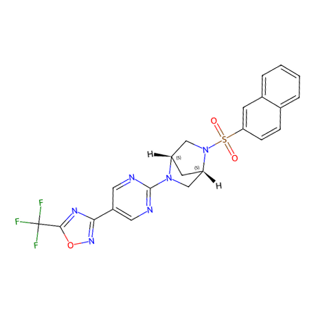 O=S(=O)(c1ccc2ccccc2c1)N1C[C@@H]2C[C@H]1CN2c1ncc(-c2noc(C(F)(F)F)n2)cn1